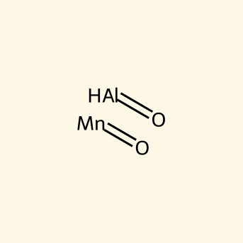 [O]=[AlH].[O]=[Mn]